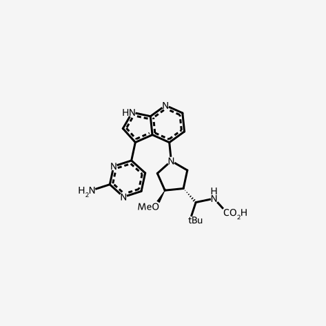 CO[C@H]1CN(c2ccnc3[nH]cc(-c4ccnc(N)n4)c23)C[C@@H]1C(NC(=O)O)C(C)(C)C